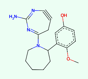 COc1ccc(O)cc1C1CCCCCN1C1=NC(N)=NC#CC1